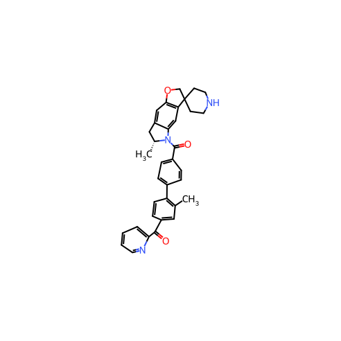 Cc1cc(C(=O)c2ccccn2)ccc1-c1ccc(C(=O)N2c3cc4c(cc3C[C@H]2C)OCC42CCNCC2)cc1